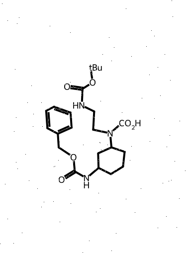 CC(C)(C)OC(=O)NCCN(C(=O)O)C1CCCC(NC(=O)OCc2ccccc2)C1